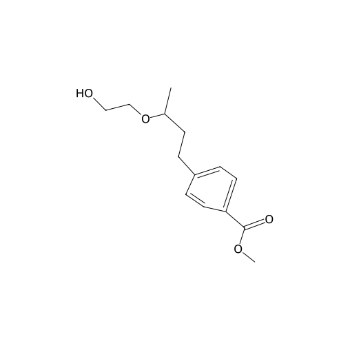 COC(=O)c1ccc(CCC(C)OCCO)cc1